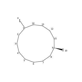 IC1CCCCCCC[C@H](I)CCCC1